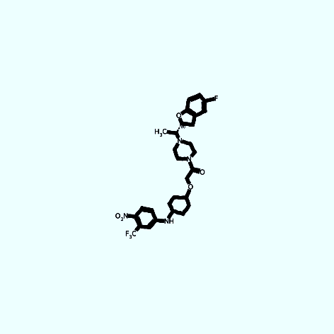 CC([C@H]1Cc2cc(F)ccc2O1)N1CCN(C(=O)COC2CCC(Nc3ccc([N+](=O)[O-])c(C(F)(F)F)c3)CC2)CC1